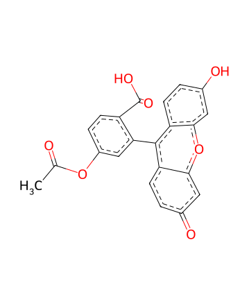 CC(=O)Oc1ccc(C(=O)O)c(-c2c3ccc(=O)cc-3oc3cc(O)ccc23)c1